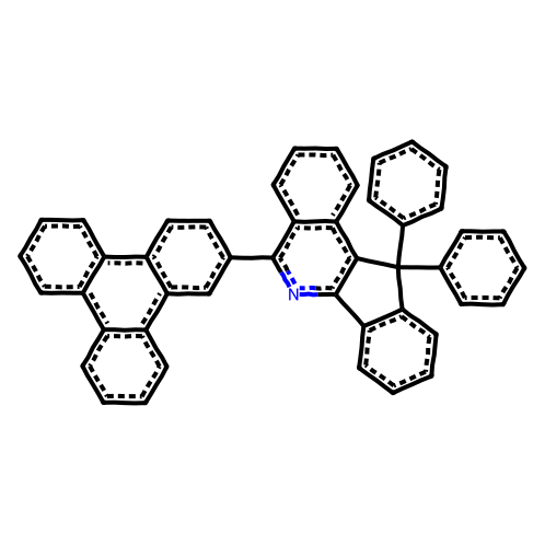 c1ccc(C2(c3ccccc3)c3ccccc3-c3nc(-c4ccc5c6ccccc6c6ccccc6c5c4)c4ccccc4c32)cc1